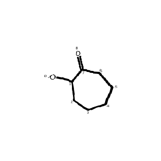 [O]C1CCCCCC1=O